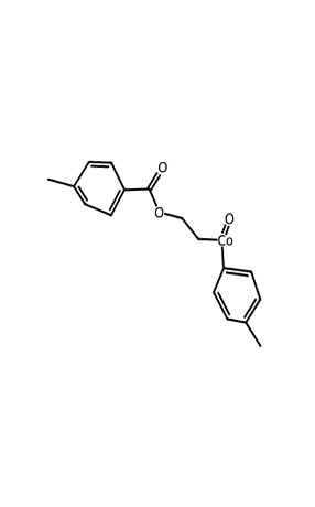 Cc1ccc(C(=O)OC[CH2][Co](=[O])[c]2ccc(C)cc2)cc1